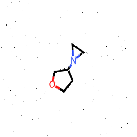 [CH]1CN1C1CCOC1